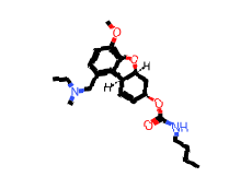 CCCCNC(=O)O[C@H]1C=C[C@H]2c3c(CN(C)CC)ccc(OC)c3O[C@H]2C1